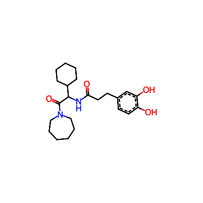 O=C(CCc1ccc(O)c(O)c1)NC(C(=O)N1CCCCCC1)C1CCCCC1